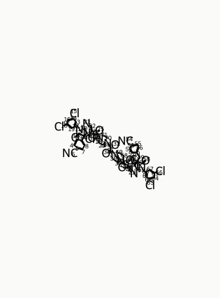 C[C@@]1(c2ccc(C#N)cc2)C(=O)N(c2cc(Cl)cc(Cl)c2)c2ncc(S(=O)(=O)N3CCN(C(=O)C(=O)N4CCN(S(=O)(=O)c5cnc6n5[C@](C)(Cc5ccc(C#N)cc5)C(=O)N6c5cc(Cl)cc(Cl)c5)CC4)CC3)n21